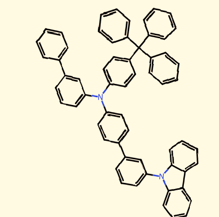 c1ccc(-c2cccc(N(c3ccc(-c4cccc(-n5c6ccccc6c6ccccc65)c4)cc3)c3ccc(C(c4ccccc4)(c4ccccc4)c4ccccc4)cc3)c2)cc1